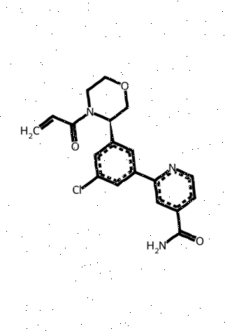 C=CC(=O)N1CCOC[C@H]1c1cc(Cl)cc(-c2cc(C(N)=O)ccn2)c1